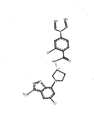 N=CN(C=N)c1ccc(C(=O)N[C@@H]2CCN(c3cc(Cl)cc4c(N)noc34)C2)c(Cl)c1